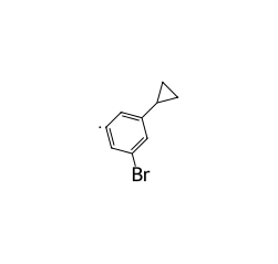 Brc1c[c]cc(C2CC2)c1